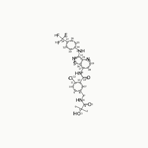 CC(C)(O)C(=O)NCc1ccc(Cl)c(C(=O)Nc2ccnc3c(Nc4ccc(C(F)(F)F)cc4)nsc23)c1